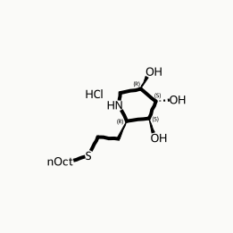 CCCCCCCCSCC[C@H]1NC[C@@H](O)[C@H](O)[C@H]1O.Cl